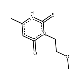 COCCn1c(=O)cc(C)[nH]c1=S